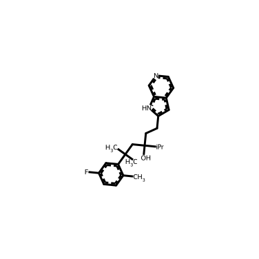 Cc1ccc(F)cc1C(C)(C)CC(O)(CCc1cc2ccncc2[nH]1)C(C)C